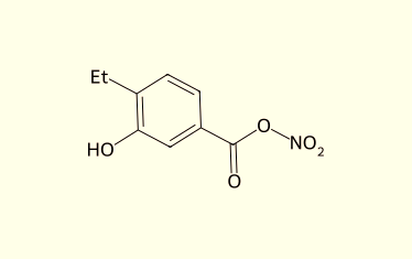 CCc1ccc(C(=O)O[N+](=O)[O-])cc1O